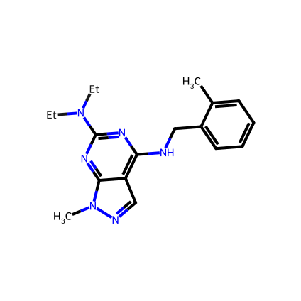 CCN(CC)c1nc(NCc2ccccc2C)c2cnn(C)c2n1